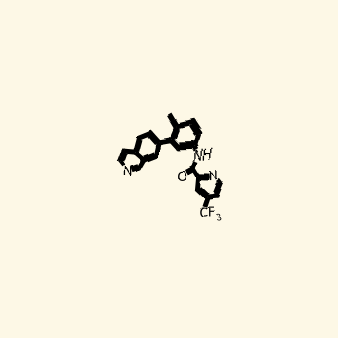 Cc1ccc(NC(=O)c2cc(C(F)(F)F)ccn2)cc1-c1ccc2ccncc2c1